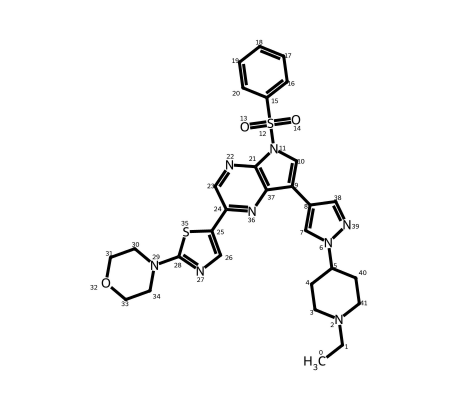 CCN1CCC(n2cc(-c3cn(S(=O)(=O)c4ccccc4)c4ncc(-c5cnc(N6CCOCC6)s5)nc34)cn2)CC1